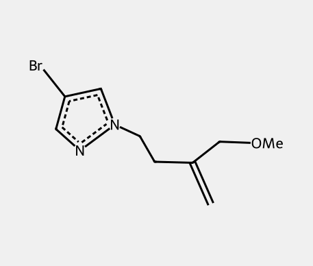 C=C(CCn1cc(Br)cn1)COC